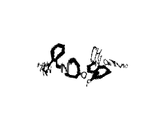 COc1ccc(F)c2c(OC3CCN(Cc4ccccc4-c4nnn[nH]4)CC3)cc(C)nc12